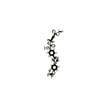 CCOC(=O)C#CC(C)(C)OC(=O)Nc1ccc(-c2ncn(-c3ccc(OC(F)(F)F)cc3)n2)cc1